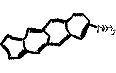 Nc1ccc2cc3cc4ccccc4cc3cc2c1